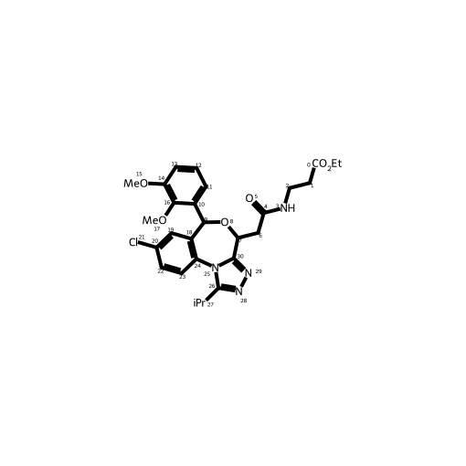 CCOC(=O)CCNC(=O)CC1OC(c2cccc(OC)c2OC)c2cc(Cl)ccc2-n2c(C(C)C)nnc21